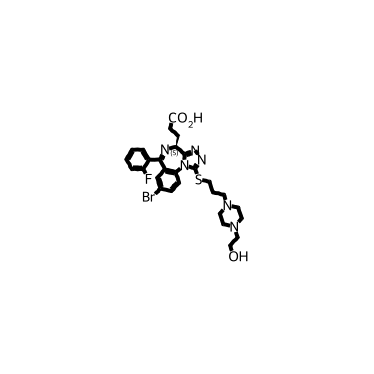 O=C(O)CC[C@@H]1N=C(c2ccccc2F)c2cc(Br)ccc2-n2c(SCCCN3CCN(CCO)CC3)nnc21